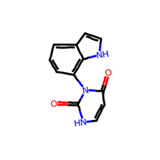 O=c1cc[nH]c(=O)n1-c1cccc2cc[nH]c12